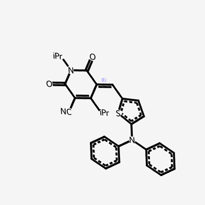 CC(C)C1=C(C#N)C(=O)N(C(C)C)C(=O)/C1=C/c1ccc(N(c2ccccc2)c2ccccc2)s1